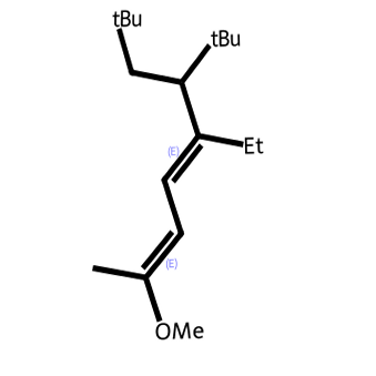 CC/C(=C\C=C(/C)OC)C(CC(C)(C)C)C(C)(C)C